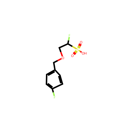 O=S(=O)(O)C(F)COCc1ccc(F)cc1